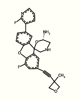 CC1(C#Cc2cc(F)c3c(c2)C2(CNC[C@@H](N)O2)c2cc(-c4cccnc4F)ccc2O3)COC1